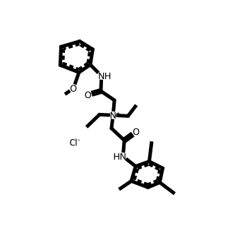 CC[N+](CC)(CC(=O)Nc1ccccc1OC)CC(=O)Nc1c(C)cc(C)cc1C.[Cl-]